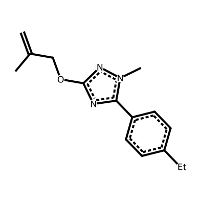 C=C(C)COc1nc(-c2ccc(CC)cc2)n(C)n1